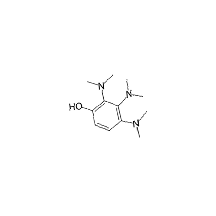 CN(C)c1ccc(O)c(N(C)C)c1N(C)C